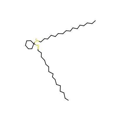 CCCCCCCCCCCCCCCCSC1(SCCCCCCCCCCCCCCCC)CCCCC1